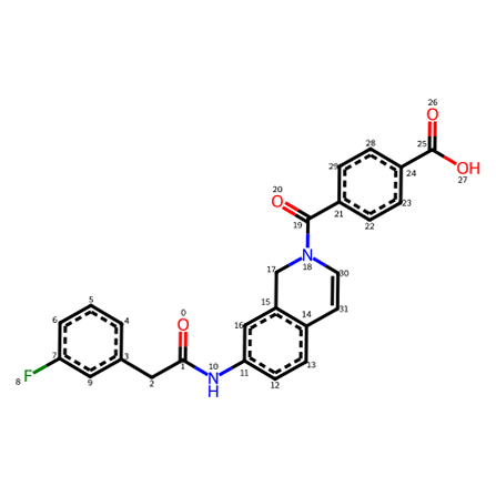 O=C(Cc1cccc(F)c1)Nc1ccc2c(c1)CN(C(=O)c1ccc(C(=O)O)cc1)C=C2